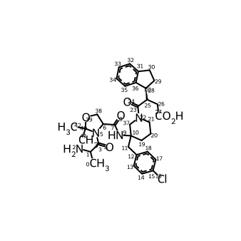 CC(N)C(=O)N1C(C(=O)NC2(Cc3ccc(Cl)cc3)CCCN(C(=O)C(CC(=O)O)[C@@H]3CCc4ccccc43)C2)COC1(C)C